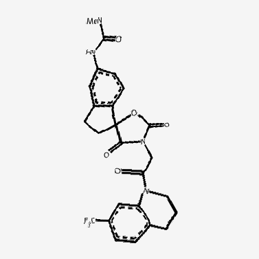 CNC(=O)Nc1ccc2c(c1)CCC21OC(=O)N(CC(=O)N2CCCc3ccc(C(F)(F)F)cc32)C1=O